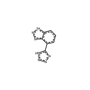 c1cc(-c2nnn[nH]2)c2nn[se]c2c1